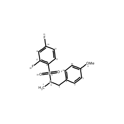 COc1ccc(CN(C)S(=O)(=O)c2ccc(F)cc2F)cc1